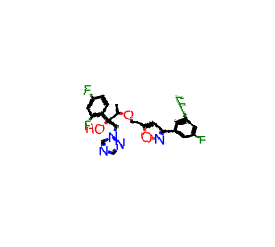 CC(OCc1cc(-c2cc(F)cc(F)c2)no1)C(O)(Cn1cncn1)c1ccc(F)cc1F